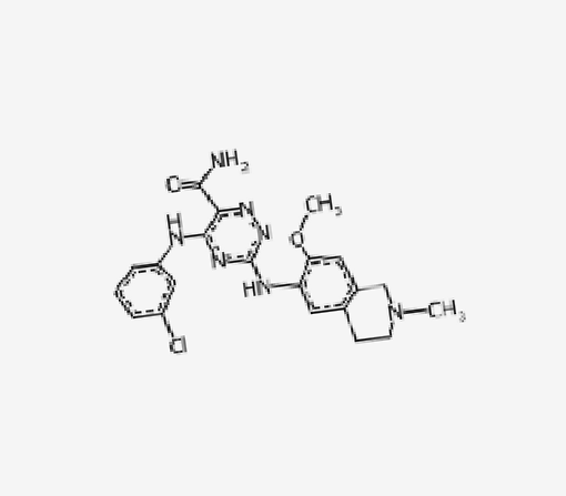 COc1cc2c(cc1Nc1nnc(C(N)=O)c(Nc3cccc(Cl)c3)n1)CCN(C)C2